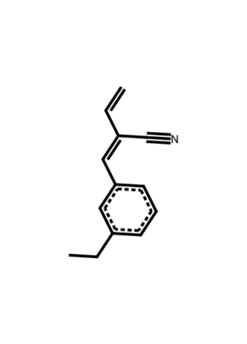 C=C/C(C#N)=C/c1cccc(CC)c1